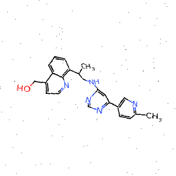 Cc1ccc(-c2cc(NCC(C)c3cccc4c(CO)ccnc34)ncn2)cn1